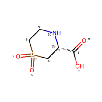 O=C(O)[C@@H]1CS(=O)(=O)CCN1